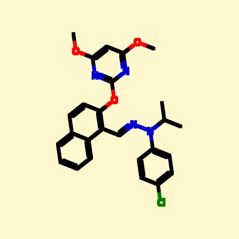 COc1cc(OC)nc(Oc2ccc3ccccc3c2/C=N/N(c2ccc(Cl)cc2)C(C)C)n1